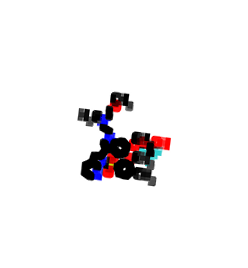 COCCN(C)CCn1cc(-c2cc3cccnc3n2S(=O)(=O)c2ccc(C)cc2)c2cc(OC)c(OC)cc21.O=C(O)C(F)(F)F